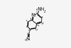 N#Cc1ccc2nc(N)ccc2c1